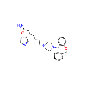 NC(=O)CC(CCCCN1CCN(C2c3ccccc3COc3ccccc32)CC1)c1cccnc1